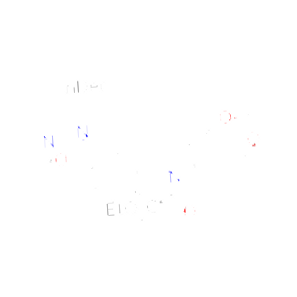 CCCCCCCCCCCc1noc(-c2cccc(CN(C(=O)C(=O)OCC)c3ccc4c(c3)OCO4)c2)n1